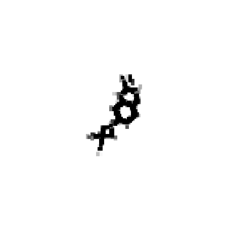 Nc1ncc2ccc(N3CC(F)(F)C3)cc2n1